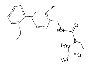 CCc1ccccc1-c1ccc(CNC(=O)N(CC)NC(=O)O)c(F)c1